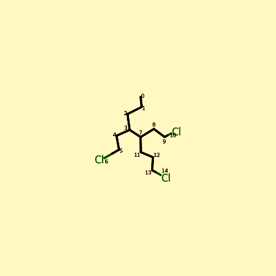 CCCC(CCCl)C(CCCl)CCCCl